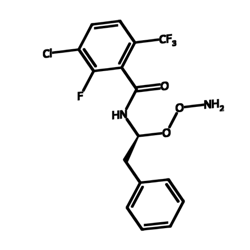 NOO[C@@H](Cc1ccccc1)NC(=O)c1c(C(F)(F)F)ccc(Cl)c1F